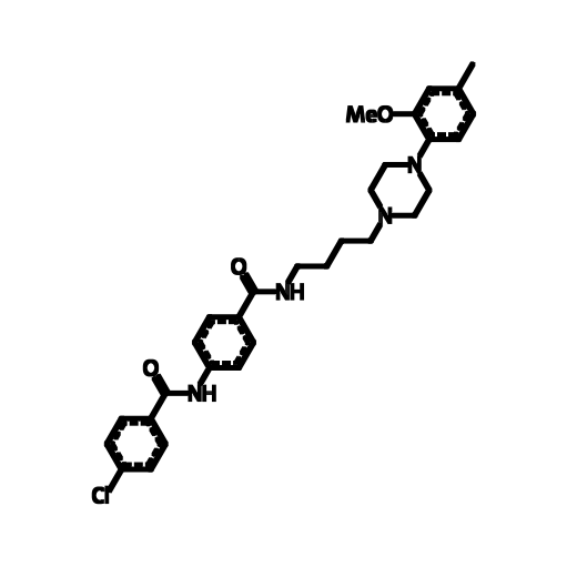 COc1cc(C)ccc1N1CCN(CCCCNC(=O)c2ccc(NC(=O)c3ccc(Cl)cc3)cc2)CC1